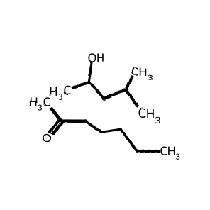 CC(C)CC(C)O.CCCCCC(C)=O